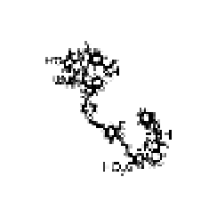 Cc1ncsc1-c1ccc([C@H](C)NC(=O)[C@@H]2C[C@@H](O)CN2C(=O)C(NC(=O)CC2(CC(=O)N3CCN(CC#Cc4ccc(OCCCc5sc(N6CCCc7c6nnc(Nc6nc8ccccc8s6)c7C)nc5C(=O)O)c(F)c4)CC3)CCCC2)C(C)(C)C)cc1